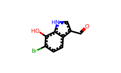 O=Cc1c[nH]c2c(O)c(Br)ccc12